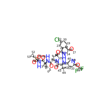 CC[C@@H]1C[C@]1(NC(=O)[C@@H]1C[C@@H](Oc2ncc(OC)c3ccc(Cl)cc23)CN1C(=O)C(Nc1ccc(OC(F)F)nc1)C(C)(C)C)C(=O)NS(=O)(=O)C1CC1